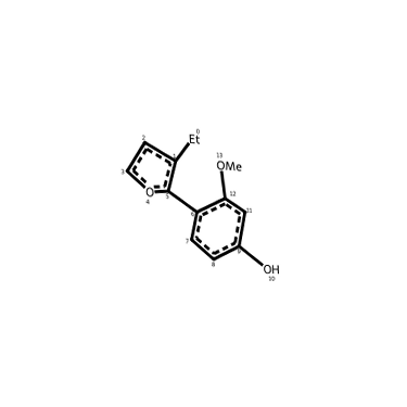 CCc1ccoc1-c1ccc(O)cc1OC